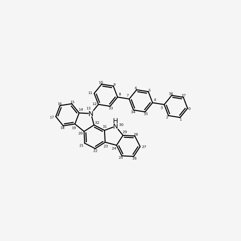 c1ccc(-c2ccc(-c3cccc(-n4c5ccccc5c5ccc6c7ccccc7[nH]c6c54)c3)cc2)cc1